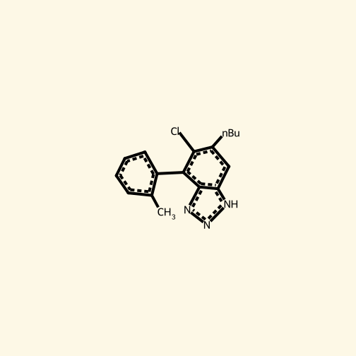 CCCCc1cc2[nH]nnc2c(-c2ccccc2C)c1Cl